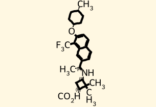 C[C@@H](N[C@H]1C[C@@H](C(=O)O)C1(C)C)c1ccc2ccc(O[C@H]3CC[C@@H](C)CC3)c(C(F)(F)F)c2c1